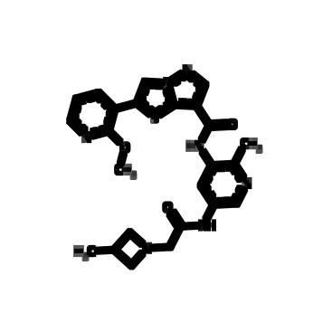 COc1ncccc1-c1cn2ncc(C(=O)Nc3cc(NC(=O)CN4CC(C)C4)cnc3C)c2s1